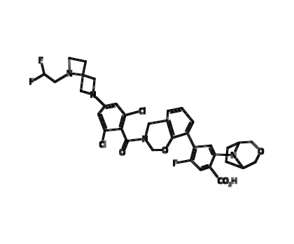 O=C(O)c1cc(F)c(-c2cccc3c2OCN(C(=O)c2c(Cl)cc(N4CC5(CCN5CC(F)F)C4)cc2Cl)C3)cc1N1C2CCC1COC2